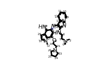 CN(C)CCNc1nn2ccccc2c1/N=C1\C=C(OCCN2CCCC2)c2c(ccn2C)C1=N